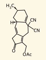 CC(=O)OCC1=C2CC(C#N)(C#N)C3=CC[C@H](C)C[C@H]3C=C2CC1=O